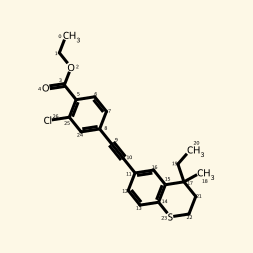 CCOC(=O)c1ccc(C#Cc2ccc3c(c2)C(C)(CC)CCS3)cc1Cl